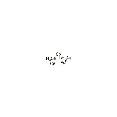 [Au][Au].[Ce].[Co].[GeH4].[La]